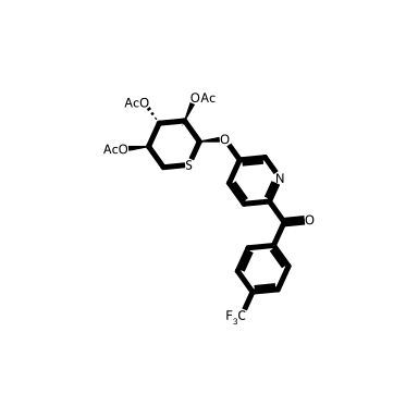 CC(=O)O[C@@H]1[C@@H](OC(C)=O)[C@@H](Oc2ccc(C(=O)c3ccc(C(F)(F)F)cc3)nc2)SC[C@H]1OC(C)=O